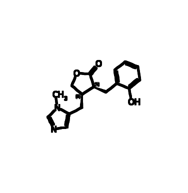 Cn1cncc1C[C@H]1COC(=O)[C@H]1Cc1ccccc1O